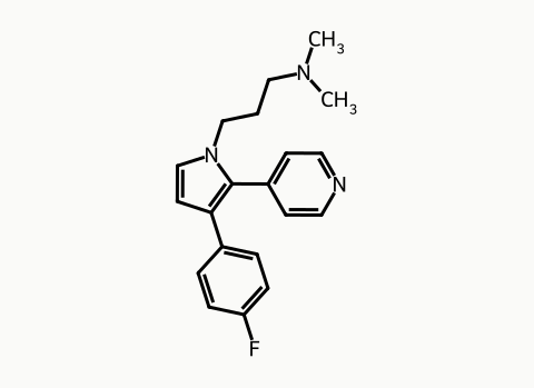 CN(C)CCCn1ccc(-c2ccc(F)cc2)c1-c1ccncc1